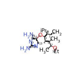 C=C/C(=C(\C=C(/C)C(C)OCC)Oc1cnc(N)nc1N)C(C)C